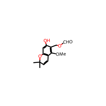 COc1c2c(cc(O)c1COC=O)OC(C)(C)C=C2